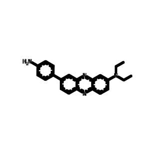 CCN(CC)c1ccc2nc3ccc(-c4ccc(N)cc4)cc3nc2c1